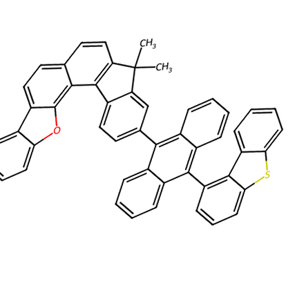 CC1(C)c2cc(-c3c4ccccc4c(-c4cccc5sc6ccccc6c45)c4ccccc34)ccc2-c2c1ccc1ccc3c4ccccc4oc3c21